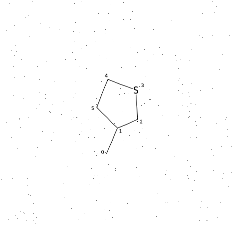 CC1[CH]SCC1